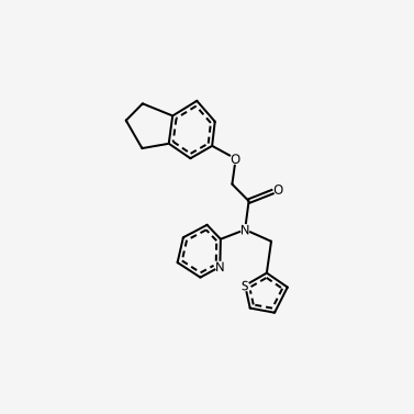 O=C(COc1ccc2c(c1)CCC2)N(Cc1cccs1)c1ccccn1